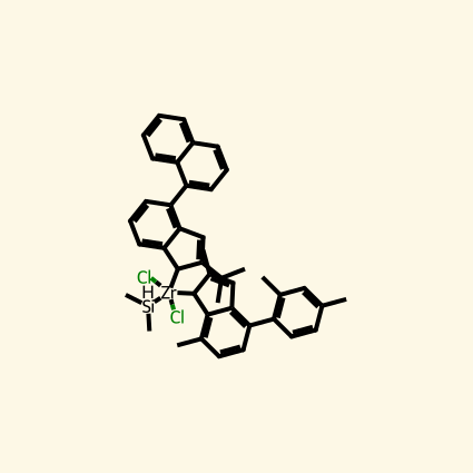 CC1=Cc2c(-c3ccc(C)cc3C)ccc(C)c2[CH]1[Zr]([Cl])([Cl])([CH]1C(C(C)C)=Cc2c(-c3cccc4ccccc34)cccc21)[SiH](C)C